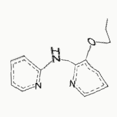 CCOc1cccnc1Nc1ccccn1